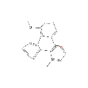 COc1cccc(OC)c1-c1ccccc1-c1ccccc1C